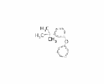 CC(C)(C)c1cccc(Oc2c[c]ccc2)c1